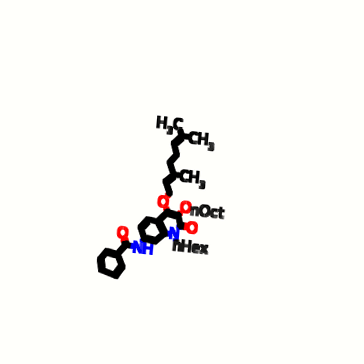 CCCCCCCCOc1c(OC/C=C(\C)CCC=C(C)C)c2ccc(NC(=O)c3ccccc3)cc2n(CCCCCC)c1=O